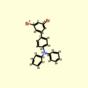 Brc1cc(Br)cc(-c2ccc(N(c3ccccc3)c3ccccc3)cc2)c1